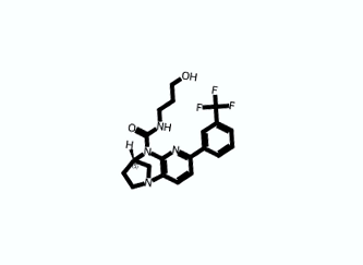 O=C(NCCCO)N1c2nc(-c3cccc(C(F)(F)F)c3)ccc2N2CC[C@H]1C2